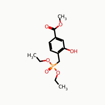 CCOP(=O)(Cc1ccc(C(=O)OC)cc1O)OCC